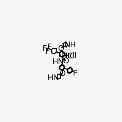 Cl.Cl.O=C(Nc1ccc(OC2CCNC2)c(-c2ccc(F)cc2)c1)c1ccc(OC2CCNC2)c(C2CCC(C(F)(F)F)CC2)c1